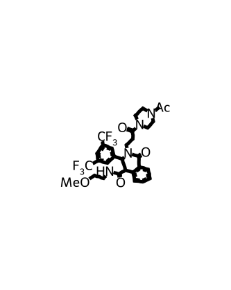 COCCNC(=O)C1c2ccccc2C(=O)N(CCC(=O)N2CCN(C(C)=O)CC2)C1c1cc(C(F)(F)F)cc(C(F)(F)F)c1